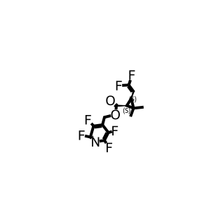 CC1(C)[C@H](C=C(F)F)[C@@H]1C(=O)OCc1c(F)c(F)nc(F)c1F